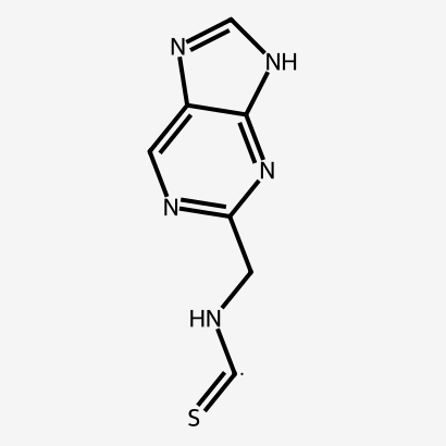 S=[C]NCc1ncc2nc[nH]c2n1